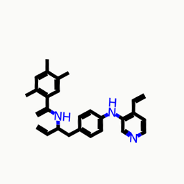 C=Cc1ccncc1Nc1ccc(CC(C=C)NC(=C)c2cc(C)c(C)cc2C)cc1